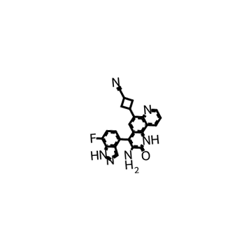 N#CC1CC(c2cc3c(-c4ccc(F)c5[nH]ncc45)c(N)c(=O)[nH]c3c3cccnc23)C1